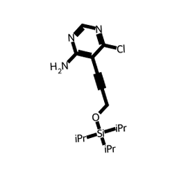 CC(C)[Si](OCC#Cc1c(N)ncnc1Cl)(C(C)C)C(C)C